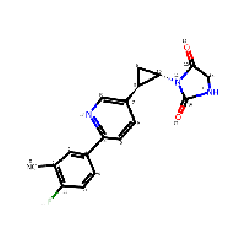 N#Cc1cc(-c2ccc([C@H]3C[C@@H]3N3C(=O)CNC3=O)cn2)ccc1F